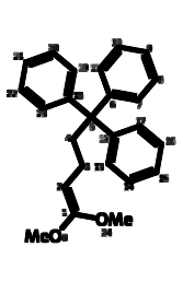 COC(=CCCC(c1ccccc1)(c1ccccc1)c1ccccc1)OC